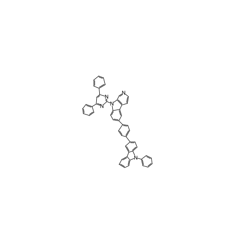 c1ccc(-c2cc(-c3ccccc3)nc(-n3c4ccc(-c5ccc(-c6ccc7c(c6)c6ccccc6n7-c6ccccc6)cc5)cc4c4ccncc43)n2)cc1